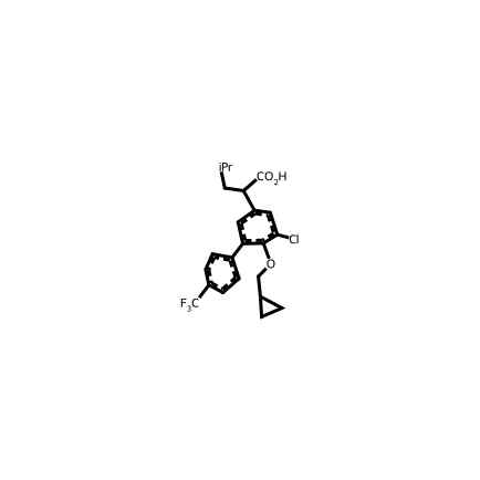 CC(C)CC(C(=O)O)c1cc(Cl)c(OCC2CC2)c(-c2ccc(C(F)(F)F)cc2)c1